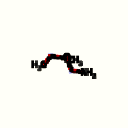 CCCCCCCC/C=C\CCCCCCCCCCCC(=O)N(CC)CCCCCCCC/C=C\CCCCCCCCN